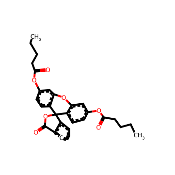 CCCCC(=O)Oc1ccc2c(c1)Oc1cc(OC(=O)CCCC)ccc1C21OC(=O)c2ccccc21